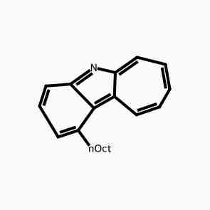 CCCCCCCCc1cccc2nc3cccccc-3c12